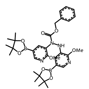 COc1ncc(B2OC(C)(C)C(C)(C)O2)cc1NN(C(=O)OCc1ccccc1)c1cc(B2OC(C)(C)C(C)(C)O2)cnc1OC